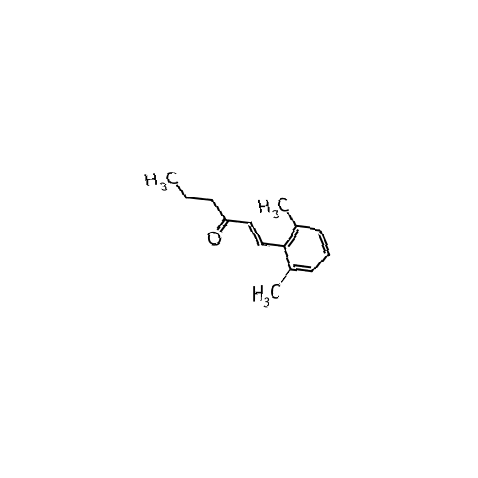 CCCC(=O)/C=C/c1c(C)cccc1C